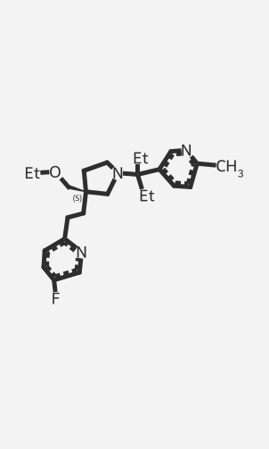 CCOC[C@@]1(CCc2ccc(F)cn2)CCN(C(CC)(CC)c2ccc(C)nc2)C1